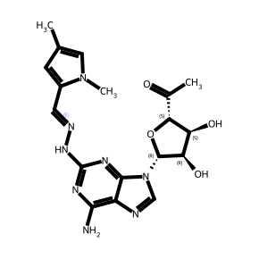 CC(=O)[C@H]1O[C@@H](n2cnc3c(N)nc(N/N=C/c4cc(C)cn4C)nc32)[C@H](O)[C@@H]1O